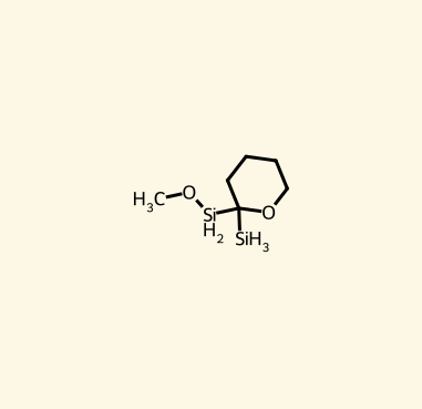 CO[SiH2]C1([SiH3])CCCCO1